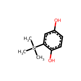 C[Si](C)(C)c1cc(O)ccc1O